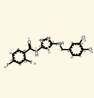 O=C(Nc1nnc(NCc2ccc(Cl)c(Cl)c2)s1)c1ccc(F)cc1F